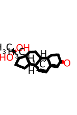 CC(O)(O)[C@H]1CC[C@H]2[C@@H]3C=CC4=CC(=O)CC[C@]4(C)[C@H]3CC[C@]12C